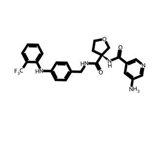 Nc1cncc(C(=O)N[C@@]2(C(=O)NCc3ccc(Nc4ccccc4C(F)(F)F)cc3)CCOC2)c1